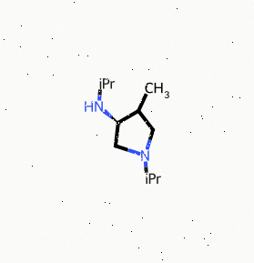 CC(C)N[C@@H]1CN(C(C)C)CC1C